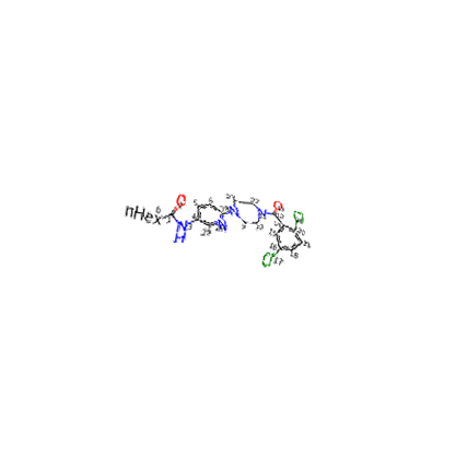 CCCCCCC(=O)Nc1ccc(N2CCN(C(=O)c3cc(Cl)ccc3Cl)CC2)nc1